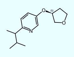 CC(C)C(C)c1ccc(O[C@H]2CCOC2)cn1